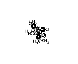 COc1ccc(S(=O)(=O)N2C(=O)[C@@](c3ccccc3OC)(N3C[CH]C[C@H]3C(=O)N(C)C)c3cc(Cl)ccc32)c(OC)c1